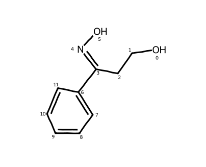 OCCC(=NO)c1ccccc1